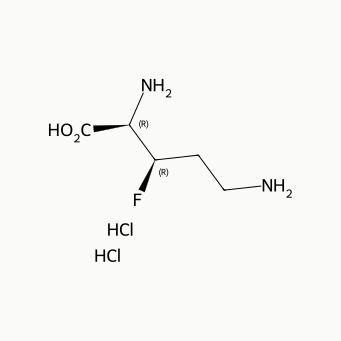 Cl.Cl.NCC[C@@H](F)[C@H](N)C(=O)O